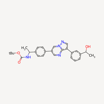 CC(O)c1cccc(-c2cnn3cc(-c4ccc(C(C)NC(=O)OC(C)(C)C)cc4)cnc23)c1